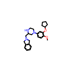 COc1ccc(N2CCNC(CN3Cc4ccccc4C3)C2)cc1OC1CCCC1